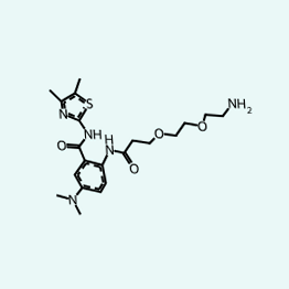 Cc1nc(NC(=O)c2cc(N(C)C)ccc2NC(=O)CCOCCOCCN)sc1C